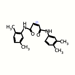 Cc1ccc(C)c(NC(=O)/C=C\C(=O)Nc2ccc(C)c(C)c2)c1